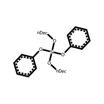 CCCCCCCCCCO[Si](OCCCCCCCCCC)(Oc1ccccc1)Oc1ccccc1